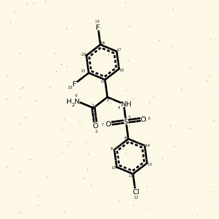 NC(=O)C(NS(=O)(=O)c1ccc(Cl)cc1)c1ccc(F)cc1F